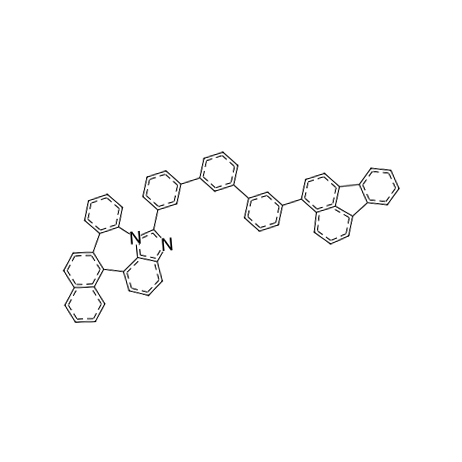 c1cc(-c2cccc(-c3ccc4c5c(cccc35)-c3ccccc3-4)c2)cc(-c2cccc(-c3nc4cccc5c4n3-c3ccccc3-c3ccc4ccccc4c3-5)c2)c1